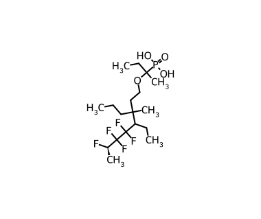 CCCC(C)(CCOC(C)(CC)P(=O)(O)O)C(CC)C(F)(F)C(F)(F)[C@@H](C)F